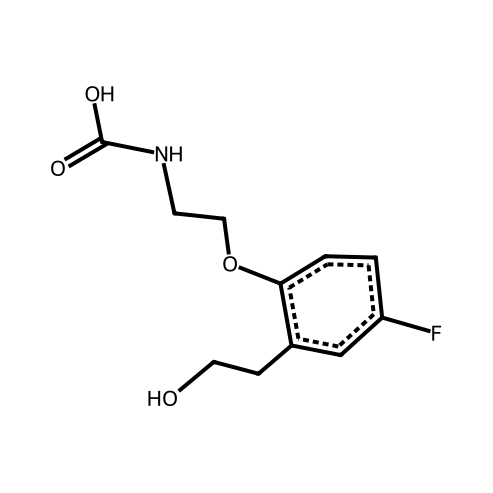 O=C(O)NCCOc1ccc(F)cc1CCO